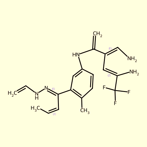 C=CN/N=C(\C=C/C)c1cc(NC(=C)C(/C=C(\N)C(F)(F)F)=C/N)ccc1C